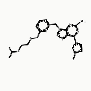 Cc1ccc(-c2nc(N)nc3c2nnn3Cc2cccc(COCCOC(C)C)n2)o1